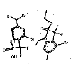 CCOP(=O)(OCC)C(F)(F)c1ccc(C)cc1Br.O=P(O)(O)C(F)(F)c1ccc(C(Br)Br)cc1Br